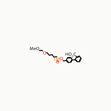 COCCOCCCCC[PH](=O)OCc1ccc(-c2ccccc2C(=O)O)cc1